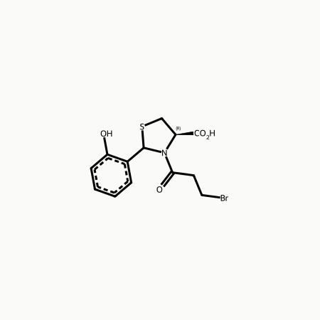 O=C(O)[C@@H]1CSC(c2ccccc2O)N1C(=O)CCBr